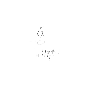 O=P(O)(O)OP(=O)(O)OP(=O)(O)OC[C@H]1O[C@@H](n2ccc3ccsc3c2=S)[C@@H](O)C1O